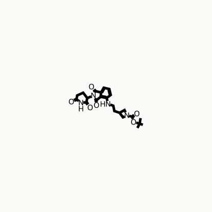 CC(C)(C)OC(=O)N1CC(CCNc2cccc3c2C(=O)N(C2CCC(=O)NC2=O)C3=O)C1